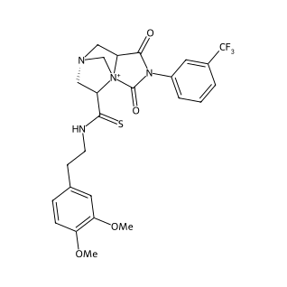 COc1ccc(CCNC(=S)C2C[N@]3CC4C(=O)N(c5cccc(C(F)(F)F)c5)C(=O)[N+]42C3)cc1OC